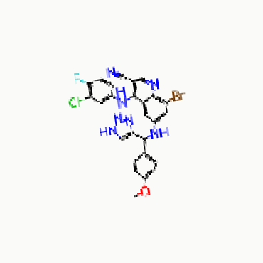 COc1ccc(C(Nc2cc(Br)c3ncc(C#N)c(Nc4ccc(F)c(Cl)c4)c3c2)c2c[nH]nn2)cc1